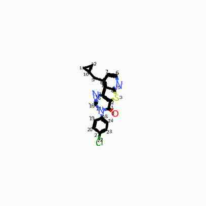 O=c1c2sc3nccc(CC4CC4)c3c2ncn1-c1ccc(Cl)cc1